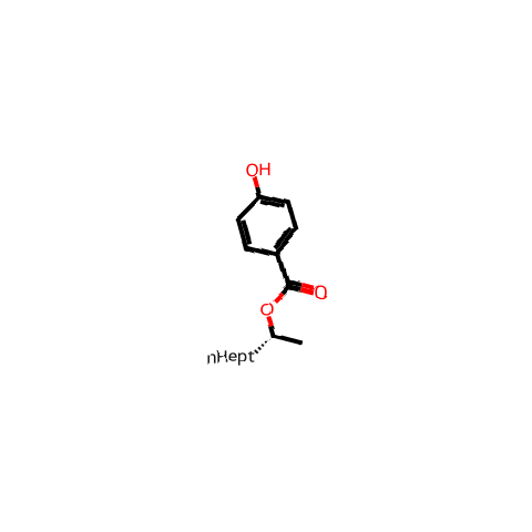 CCCCCCC[C@@H](C)OC(=O)c1ccc(O)cc1